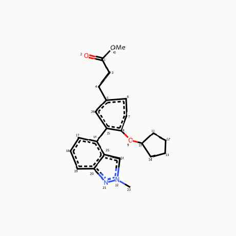 COC(=O)CCc1ccc(OC2CCCC2)c(-c2cccc3nn(C)cc23)c1